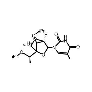 Cc1cn(C2OC3([C@@H](C)OC(C)C)[C@H](C)O[C@@H]2[C@@H]3OC(C)C)c(=O)[nH]c1=O